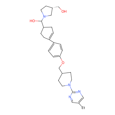 CCc1cnc(N2CCC(COc3ccc(C4=CCC(C(O)N5CC[C@H](CO)C5)CC4)cc3)CC2)nc1